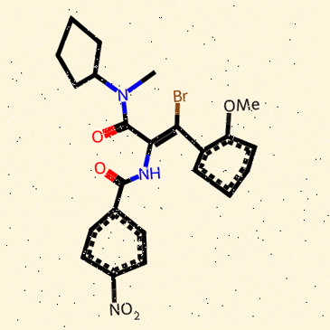 COc1ccccc1C(Br)=C(NC(=O)c1ccc([N+](=O)[O-])cc1)C(=O)N(C)C1CCCC1